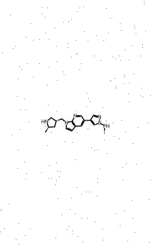 C[C@@H]1C[C@H](Cn2ccc3cc(-c4cnn(PI)c4)cnc32)CN1